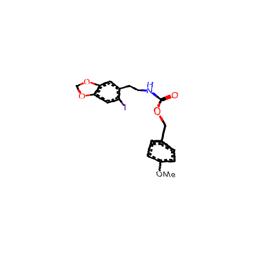 COc1ccc(COC(=O)NCCc2cc3c(cc2I)OCO3)cc1